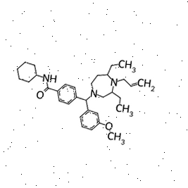 C=CCN1C(CC)CCN(C(c2ccc(C(=O)NC3CCCCC3)cc2)c2cccc(OC)c2)CC1CC